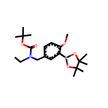 CCN(Cc1ccc(OC)c(B2OC(C)(C)C(C)(C)O2)c1)C(=O)OC(C)(C)C